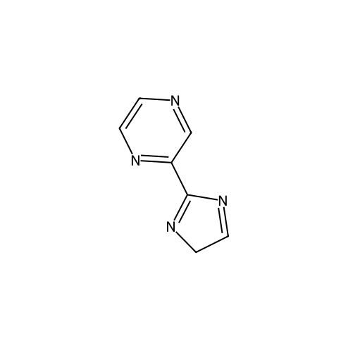 C1=NC(c2cnccn2)=NC1